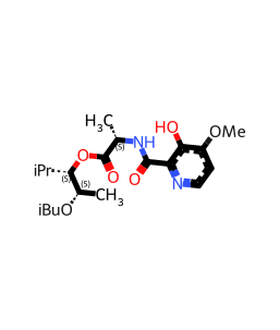 COc1ccnc(C(=O)N[C@@H](C)C(=O)O[C@@H](C(C)C)[C@H](C)OCC(C)C)c1O